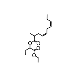 CC/C=C\C/C=C\CC(C)C(=O)OC(CC)C(=O)OCC